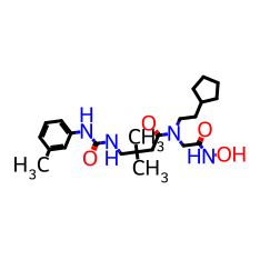 Cc1cccc(NC(=O)NCC(C)(C)CC(=O)N(CCC2CCCC2)CC(=O)NO)c1